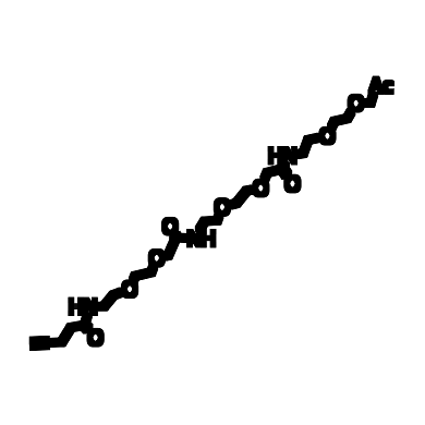 C#CCCC(=O)NCCOCCOCC(=O)NCCOCCOCC(=O)NCCOCCOCC(C)=O